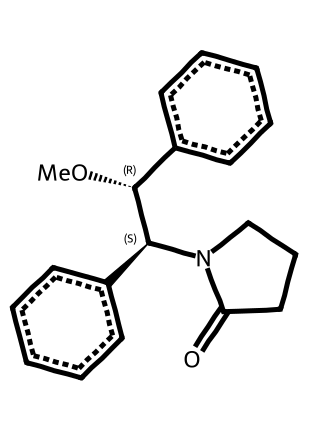 CO[C@H](c1ccccc1)[C@H](c1ccccc1)N1CCCC1=O